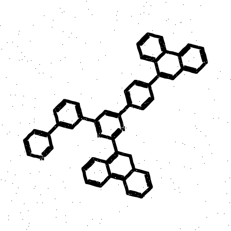 C1=CC2=c3ccccc3=C(c3nc(-c4ccc(-c5cc6ccccc6c6ccccc56)cc4)cc(-c4cccc(-c5cccnc5)c4)n3)CC2C=C1